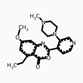 CCc1cc(OC)cc2nc(-c3ccncc3N3CCN(C)CC3)oc(=O)c12